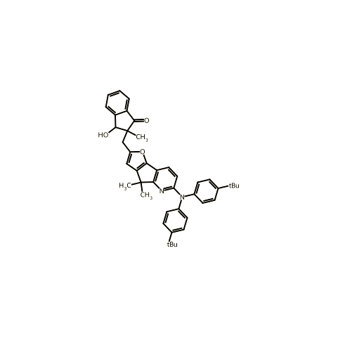 CC(C)(C)c1ccc(N(c2ccc(C(C)(C)C)cc2)c2ccc3c(n2)C(C)(C)c2cc(CC4(C)C(=O)c5ccccc5C4O)oc2-3)cc1